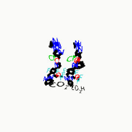 O=C(O)c1ccc2nc(Cc3cc(F)c(-c4cccc(OCc5cnc(-n6ccnn6)cc5Cl)n4)cc3F)n(CCOC(F)F)c2c1.O=C(O)c1ccc2nc(Cc3cc(F)c(-c4cccc(OCc5cnc(-n6ccnn6)cc5Cl)n4)cc3F)n(CCOC(F)F)c2c1